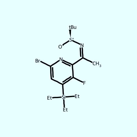 CC[Si](CC)(CC)c1cc(Br)nc(/C(C)=N\[S@@+]([O-])C(C)(C)C)c1F